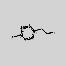 CCCc1ccc(Br)nc1